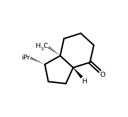 CC(C)[C@H]1CC[C@H]2C(=O)CCC[C@]12C